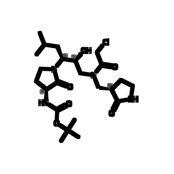 CC(C)C[C@@H]([C@@H](O)CN(C[C@@H]1CCNC1=O)C(=O)CCl)N1CC[C@H](NC(=O)OC(C)(C)C)C1=O